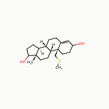 CSC[C@]12CCC(O)C=C1CC[C@@H]1[C@H]2CC[C@]2(C)C(O)CC[C@@H]12